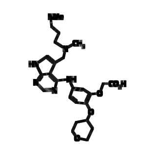 CNCCCN(C)Cc1c[nH]c2ncnc(Nc3ccc(OC4CCOCC4)c(OCC(=O)O)c3)c12